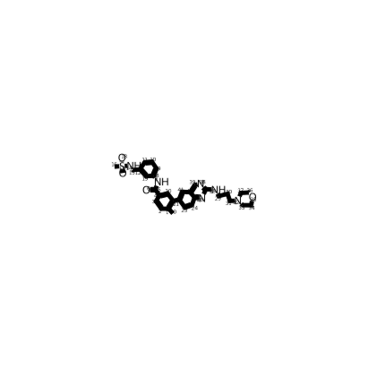 Cc1ccc(C(=O)Nc2cccc(CNS(C)(=O)=O)c2)cc1-c1ccc2nc(NCCCN3CCOCC3)ncc2c1